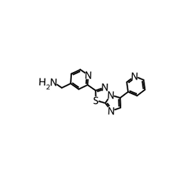 NCc1ccnc(-c2nn3c(-c4cccnc4)cnc3s2)c1